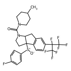 CC1CCN(C(=O)N2CCC3([S+]([O-])c4ccc(F)cc4)c4ccc(C(F)(C(F)(F)F)C(F)(F)F)cc4CC23)CC1